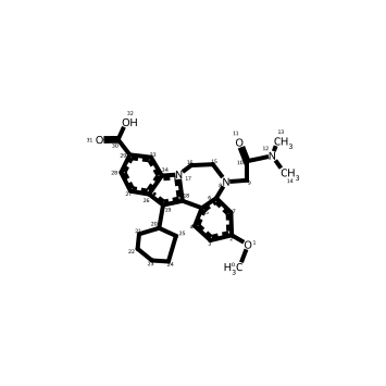 COc1ccc2c(c1)N(CC(=O)N(C)C)CCn1c-2c(C2CCCCC2)c2ccc(C(=O)O)cc21